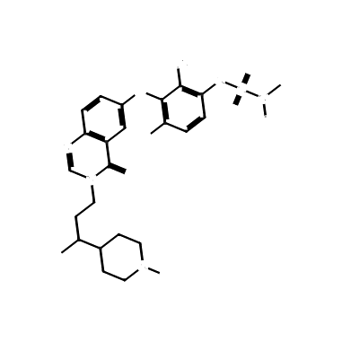 CCN(C)S(=O)(=O)Nc1ccc(F)c(Oc2ccc3ncn(CCC(C)C4CCN(C(=O)O)CC4)c(=O)c3c2)c1C#N